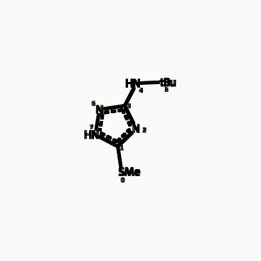 CSc1nc(NC(C)(C)C)n[nH]1